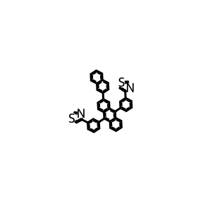 c1cc(-c2cscn2)cc(-c2c3ccccc3c(-c3cccc(-c4cscn4)c3)c3cc(-c4ccc5ccccc5c4)ccc23)c1